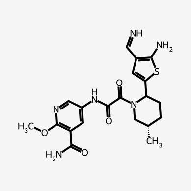 COc1ncc(NC(=O)C(=O)N2C[C@@H](C)CCC2c2cc(C=N)c(N)s2)cc1C(N)=O